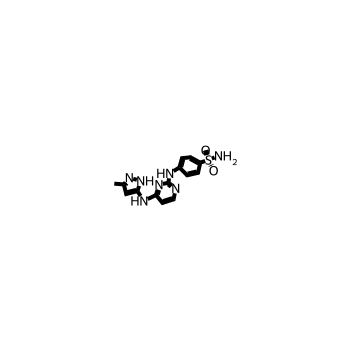 Cc1cc(Nc2ccnc(Nc3ccc(S(N)(=O)=O)cc3)n2)[nH]n1